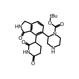 CC(C)(C)OC(=O)N1CCNCC1c1ccc2c(c1C1CCC(=O)NC1=O)C(=O)NC2